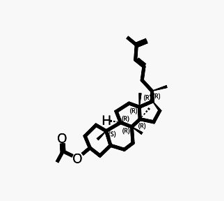 C=C(C)C=CC[C@@H](C)[C@H]1CC[C@]2(C)[C@]1(C)CC[C@@H]1[C@@]3(C)CCC(OC(C)=O)CC3CC[C@]12C